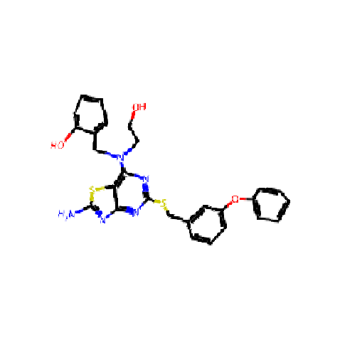 Nc1nc2nc(SCc3cccc(Oc4ccccc4)c3)nc(N(CCO)Cc3ccccc3O)c2s1